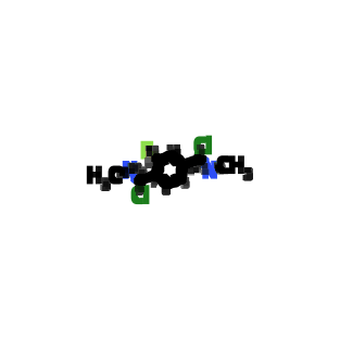 C/N=C(\Cl)c1ccc(/C(Cl)=N/C)c(F)c1